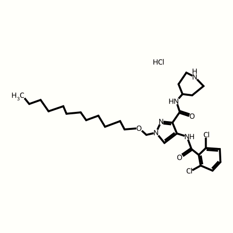 CCCCCCCCCCCCOCn1cc(NC(=O)c2c(Cl)cccc2Cl)c(C(=O)NC2CCNCC2)n1.Cl